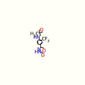 CC1(CNc2ccc(C3=NNC(=O)OC3)cc2C(F)(F)F)COC1